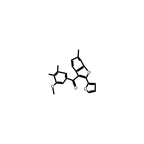 COc1cc(C(=O)c2c(-c3ccco3)oc3cc(C)ccc23)cc(C)c1C